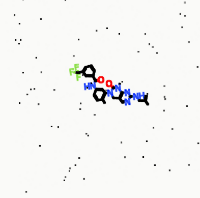 C=C(C)CNc1ncc2c(n1)N(C)C(=O)N(c1cc(NC(=O)c3cccc(C(F)(F)F)c3)ccc1C)C2